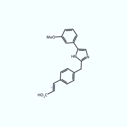 COc1cccc(-c2cnc(Cc3ccc(/C=C/C(=O)O)cc3)[nH]2)c1